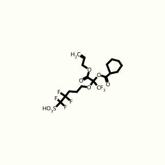 C=CCOC(=O)C(OCCCC(F)(F)C(F)(F)S(=O)(=O)O)(OC(=O)C1CCCCC1)C(F)(F)F